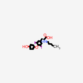 CCCCCN[C@@H](Cc1cc(I)c(Oc2ccc(O)cc2)c(I)c1)C(=O)O